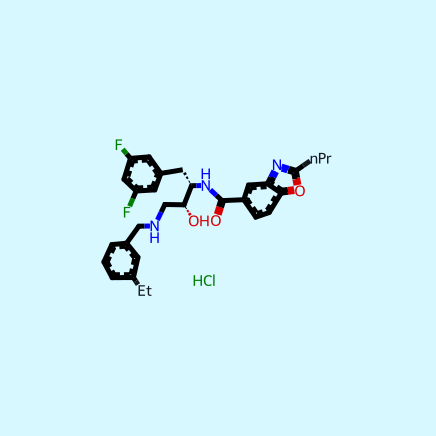 CCCc1nc2cc(C(=O)N[C@@H](Cc3cc(F)cc(F)c3)[C@H](O)CNCc3cccc(CC)c3)ccc2o1.Cl